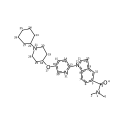 CN(C)C(=O)c1ccc2c(ccn2-c2ccc(OC3CCN(C4CCCCC4)CC3)cn2)c1